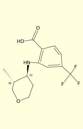 C[C@H]1COCC[C@@H]1Nc1cc(C(F)(F)F)ccc1C(=O)O